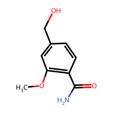 COc1cc(CO)ccc1C(N)=O